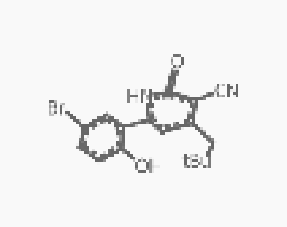 CC(C)(C)Cc1cc(-c2cc(Br)ccc2O)[nH]c(=O)c1C#N